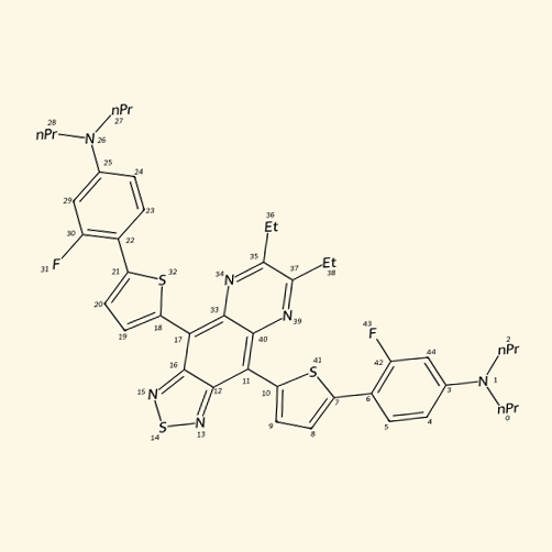 CCCN(CCC)c1ccc(-c2ccc(-c3c4nsnc4c(-c4ccc(-c5ccc(N(CCC)CCC)cc5F)s4)c4nc(CC)c(CC)nc34)s2)c(F)c1